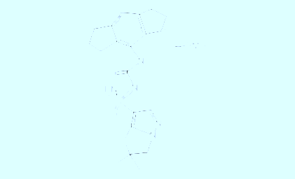 COC[C@H]1CCc2cc3c(c(NC(=O)N=[S@@](N)(=O)c4cnn5c4OC(C)(C)C5)c21)CCC3